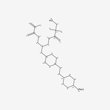 C=C(C)C(=O)OCC(COC(=O)C(C)(C)CO)CC1CCC(CCC2CCC(CCCCC)CC2)CO1